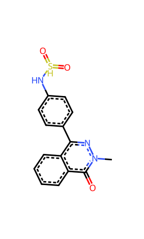 Cn1nc(-c2ccc(N[SH](=O)=O)cc2)c2ccccc2c1=O